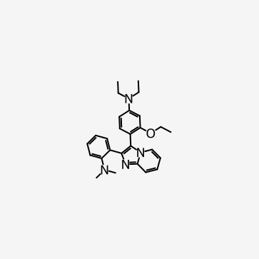 CCOc1cc(N(CC)CC)ccc1-c1c(-c2ccccc2N(C)C)nc2ccccn12